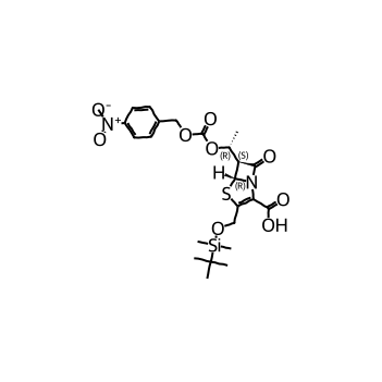 C[C@@H](OC(=O)OCc1ccc([N+](=O)[O-])cc1)[C@H]1C(=O)N2C(C(=O)O)=C(CO[Si](C)(C)C(C)(C)C)S[C@H]12